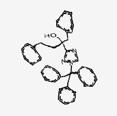 OC(CCc1ccccc1)(Cc1ccccc1)c1ncn(C(c2ccccc2)(c2ccccc2)c2ccccc2)n1